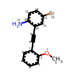 COc1ccccc1C#Cc1cc(Br)ccc1N